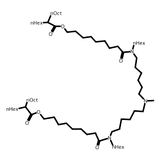 CCCCCCCCC(CCCCCC)C(=O)OCCCCCCCCC(=O)N(CCCCCC)CCCCCCN(C)CCCCCCN(CCCCCC)C(=O)CCCCCCCCOC(=O)C(CCCCCC)CCCCCCCC